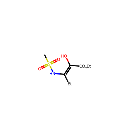 CCOC(=O)/C(O)=C(\CC)NS(C)(=O)=O